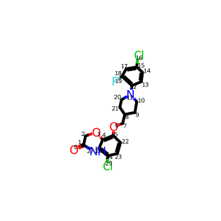 O=C1COc2c(OCC3CCN(c4ccc(Cl)cc4F)CC3)ccc(Cl)c2N1